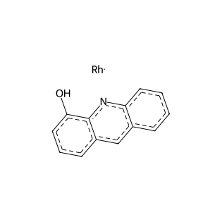 Oc1cccc2cc3ccccc3nc12.[Rh]